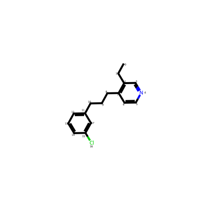 CCc1cnccc1CCCc1cccc(Cl)c1